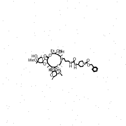 CC[C@H]1OC(=O)[C@H](C)[C@@H](O[C@H]2C[C@@](C)(OC)[C@@H](O)[C@H](C)O2)[C@H](C)[C@@H](O[C@@H]2O[C@H](C)C[C@H](N(C)C)[C@H]2O)[C@](C)(O)C[C@@H](C)CN(CCCNC(=O)NC2CCN(C(=O)OCc3ccccc3)CC2)[C@H](C)[C@@H](O)[C@]1(C)O